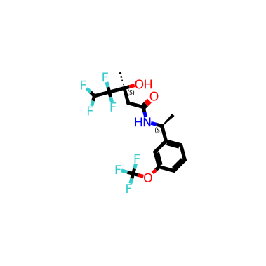 C[C@H](NC(=O)C[C@](C)(O)C(F)(F)C(F)F)c1cccc(OC(F)(F)F)c1